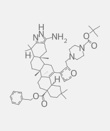 CC1(C)CC[C@]2(C(=O)OCc3ccccc3)CC[C@]3(C)C(=C(c4ccoc4CN4CCN(C(=O)OC(C)(C)C)CC4)CC4[C@@]5(C)Cc6c(n[nH]c6N)C(C)(C)[C@@H]5CC[C@]43C)[C@@H]2C1